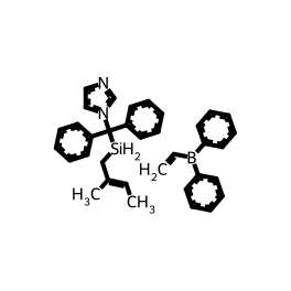 C=CB(c1ccccc1)c1ccccc1.CC=C(C)C[SiH2]C(c1ccccc1)(c1ccccc1)n1ccnc1